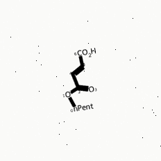 CCCCCOC(=O)/C=C/C(=O)O